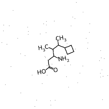 CC(C(N)CC(=O)O)C(C)C1CCC1